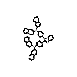 c1ccc2cc(N(c3ccc(-c4nc5ccccc5n4-c4ccc(N(c5ccc6ccccc6c5)c5ccc6ccccc6c5)cc4)cc3)c3ccc4ccccc4c3)ccc2c1